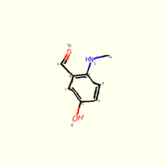 CNc1ccc(O)cc1C=O